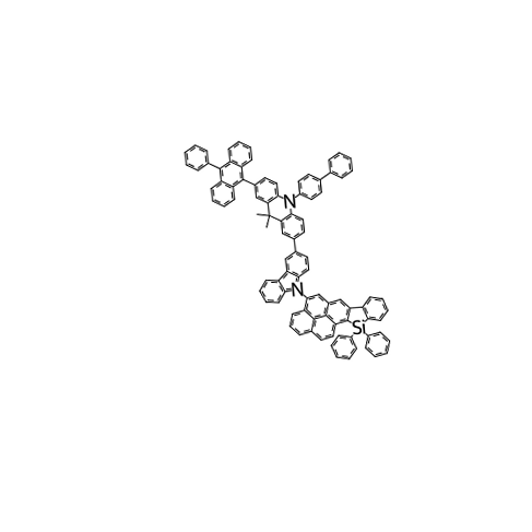 CC1(C)c2cc(-c3ccc4c(c3)c3ccccc3n4-c3cc4cc5c(c6ccc7cccc3c7c46)[Si](c3ccccc3)(c3ccccc3)c3ccccc3-5)ccc2N(c2ccc(-c3ccccc3)cc2)c2ccc(-c3c4ccccc4c(-c4ccccc4)c4ccccc34)cc21